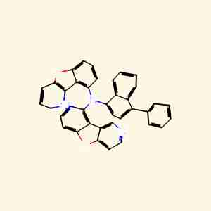 C1=Cc2oc3cccc(N(c4ccc(-c5ccccc5)c5ccccc45)c4cccc5oc6ccncc6c45)c3c2NC1